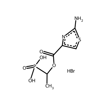 Br.CC(OC(=O)c1csc(N)n1)P(=O)(O)O